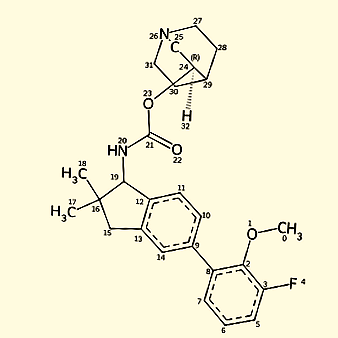 COc1c(F)cccc1-c1ccc2c(c1)CC(C)(C)C2NC(=O)O[C@H]1CN2CCC1CC2